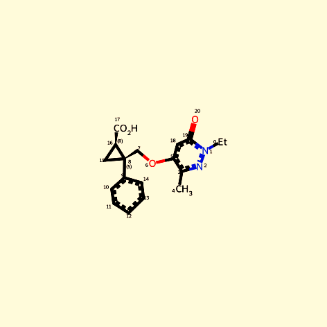 CCn1nc(C)c(OC[C@@]2(c3ccccc3)C[C@H]2C(=O)O)cc1=O